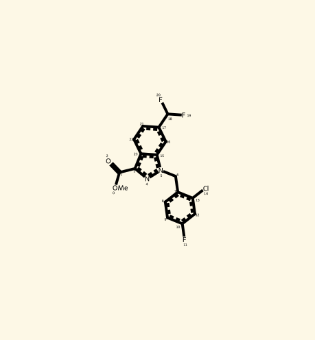 COC(=O)c1nn(Cc2ccc(F)cc2Cl)c2cc(C(F)F)ccc12